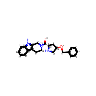 O=C([C@@H]1C[C@@H](OCc2ccccc2)CN1)N1CCc2c([nH]c3ccccc23)C1